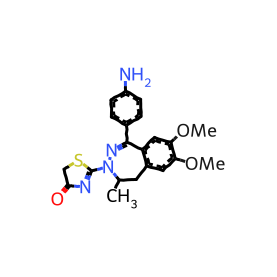 COc1cc2c(cc1OC)C(c1ccc(N)cc1)=NN(C1=NC(=O)CS1)C(C)C2